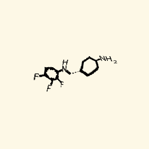 N[C@H]1CC[C@H](CNc2ccc(F)c(F)c2F)CC1